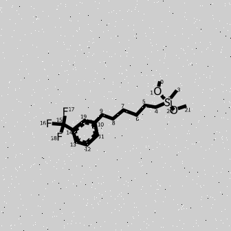 CO[Si](C)(CCCCCCc1cccc(C(F)(F)F)c1)OC